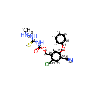 CNNC(=S)NC(=O)OCc1cc(Oc2ccccc2)c(C#N)cc1Cl